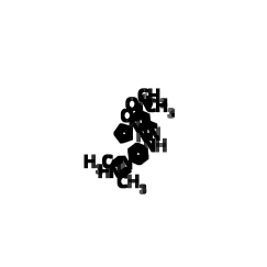 CC1CN(c2ccc(Nc3ncc4cc(C(=O)N(C)C)c(=O)n(C5CCCC5)c4n3)cc2)CC(C)N1